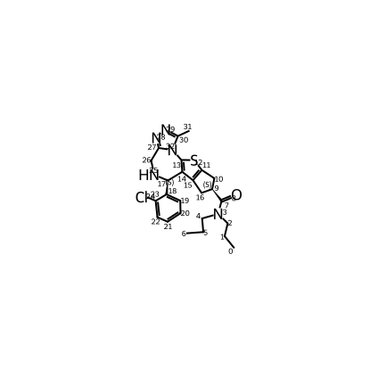 CCCN(CCC)C(=O)[C@@H]1Cc2sc3c(c2C1)[C@@H](c1ccccc1Cl)NCc1nnc(C)n1-3